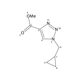 COC(=O)c1cn(CC2CC2)nn1